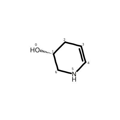 O[C@@H]1CC=CNC1